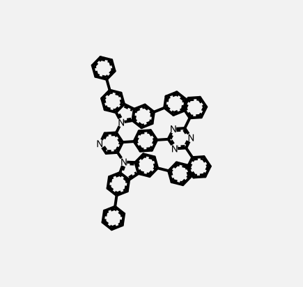 c1ccc(-c2ccc3c(c2)c2cc(-c4ccccc4)ccc2n3-c2cncc(-n3c4ccc(-c5ccccc5)cc4c4cc(-c5ccccc5)ccc43)c2-c2ccc(-c3nc(-c4ccccc4)nc(-c4ccccc4)n3)cc2)cc1